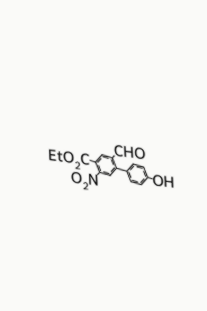 CCOC(=O)c1cc(C=O)c(-c2ccc(O)cc2)cc1[N+](=O)[O-]